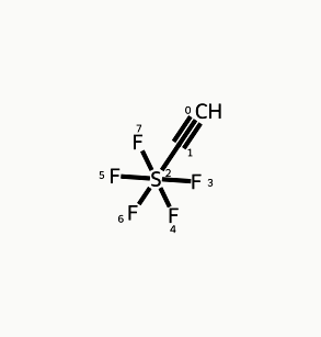 C#CS(F)(F)(F)(F)F